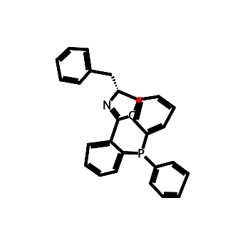 c1ccc(C[C@@H]2COC(c3ccccc3P(c3ccccc3)c3ccccc3)=N2)cc1